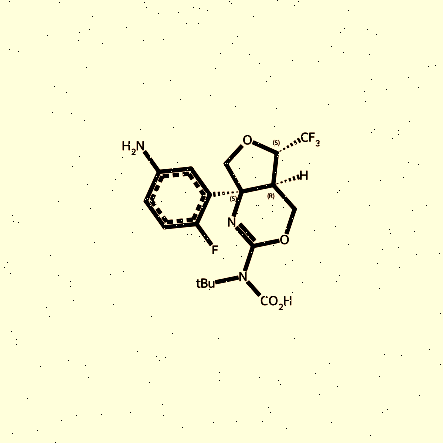 CC(C)(C)N(C(=O)O)C1=N[C@@]2(c3cc(N)ccc3F)CO[C@H](C(F)(F)F)[C@H]2CO1